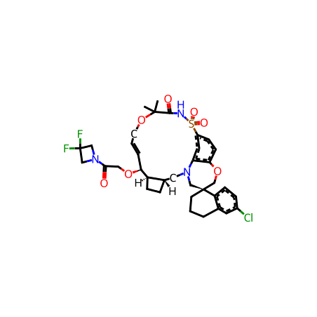 CC1(C)OC/C=C/[C@H](OCC(=O)N2CC(F)(F)C2)[C@@H]2CC[C@H]2CN2C[C@@]3(CCCc4cc(Cl)ccc43)COc3ccc(cc32)S(=O)(=O)NC1=O